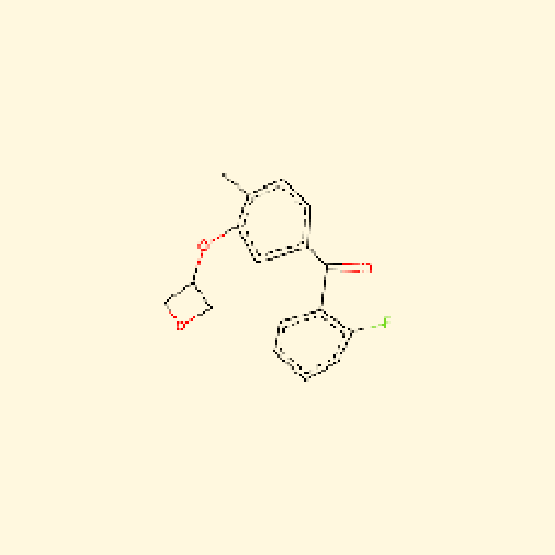 Cc1ccc(C(=O)c2ccccc2F)cc1OC1COC1